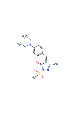 CCN(CC)c1ccc(/C=C2\C(=O)N(S(C)(=O)=O)N=C2C)cc1